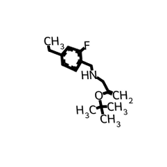 C=C(CNCc1ccc(CC)cc1F)OC(C)(C)C